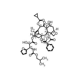 CC(=O)O[C@@]12CO[C@@H]1C[C@H](O)[C@@]1(C)C(=O)[C@H](OC(=O)C3CC3)C3=C(C)[C@@H](OC(=O)[C@H](O)[C@@H](NC(=O)OCC(C)C)c4ccco4)C[C@@](O)([C@@H](OC(=O)c4ccccc4)[C@H]21)C3(C)C